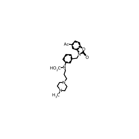 CC(=O)c1ccc2oc(=O)n(Cc3cccc(N(CCCN4CCN(C)CC4)C(=O)O)c3)c2c1